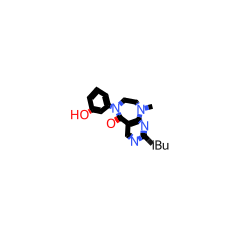 CCC(C)c1ncc2c(n1)N(C)CCN(c1cccc(O)c1)C2=O